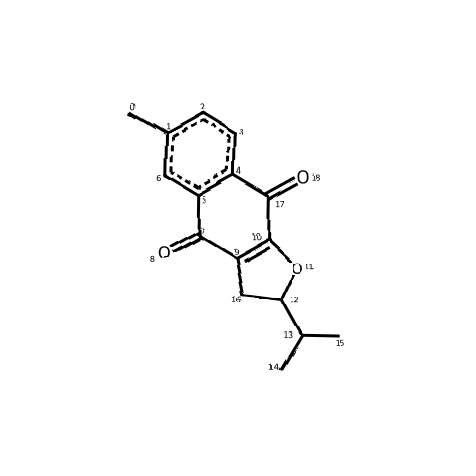 Cc1ccc2c(c1)C(=O)C1=C(OC(C(C)C)C1)C2=O